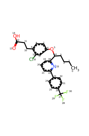 CCCCC(Oc1ccc(CCC(=O)O)c(Cl)c1)c1cccc(-c2ccc(C(F)(F)F)cc2)n1